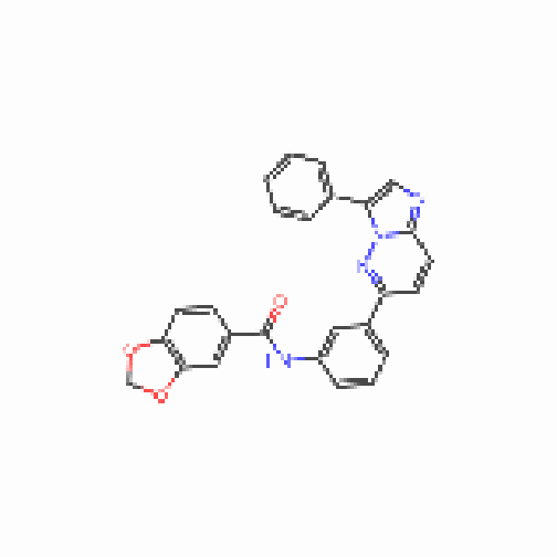 O=C(Nc1cccc(-c2ccc3ncc(-c4ccccc4)n3n2)c1)c1ccc2c(c1)OCO2